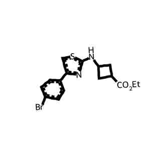 CCOC(=O)C1CC(Nc2nc(-c3ccc(Br)cc3)cs2)C1